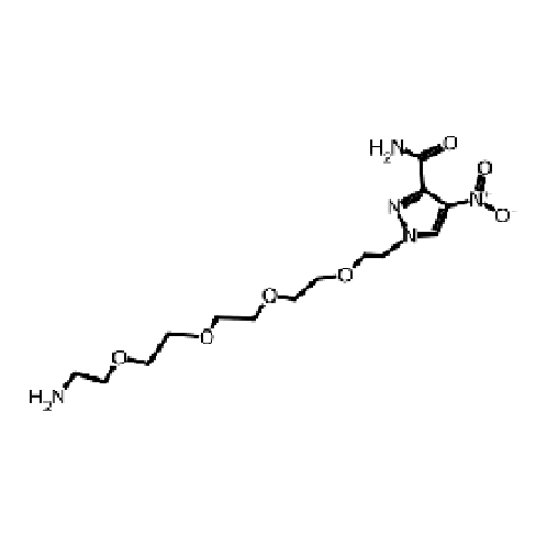 NCCOCCOCCOCCOCCn1cc([N+](=O)[O-])c(C(N)=O)n1